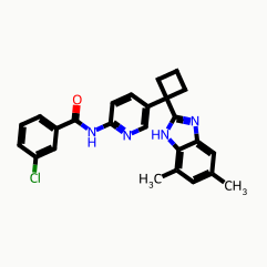 Cc1cc(C)c2[nH]c(C3(c4ccc(NC(=O)c5cccc(Cl)c5)nc4)CCC3)nc2c1